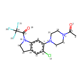 CC(=O)N1CCN(c2cc3c(cc2Cl)CCN3C(=O)C(F)(F)F)CC1